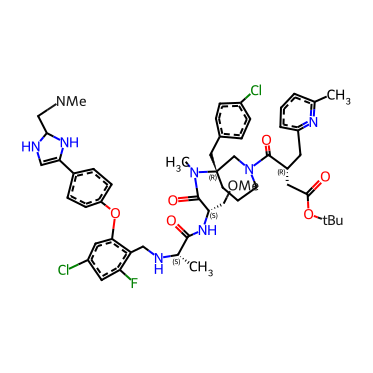 CNCC1NC=C(c2ccc(Oc3cc(Cl)cc(F)c3CN[C@@H](C)C(=O)N[C@@H](COC)C(=O)N(C)[C@@]3(Cc4ccc(Cl)cc4)CCCN(C(=O)[C@@H](CC(=O)OC(C)(C)C)Cc4cccc(C)n4)C3)cc2)N1